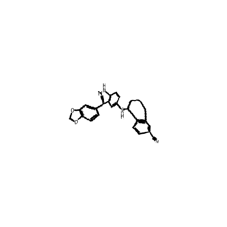 N#Cc1ccc2c(c1)CCC[C@@H]2Nc1ccc2[nH]nc(-c3ccc4c(c3)OCO4)c2c1